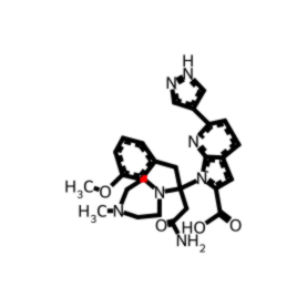 COc1cccc(CC(CC(N)=O)(N2CCN(C)CC2)n2c(C(=O)O)cc3ccc(-c4cn[nH]c4)nc32)c1